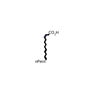 CCCCCC=CCC=CCCCC/C=C\CC(=O)O